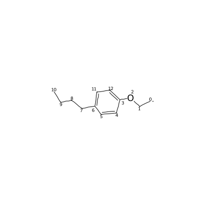 [CH2]COc1ccc(CCCC)cc1